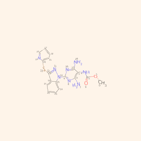 COC(=O)Nc1c(N)nc(-n2nc(Sc3ccccn3)c3ccccc32)nc1N